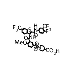 COc1ccc(S(=O)(=O)N2CCC(C(=O)O)CC2)cc1C(=O)Nc1c(C(=O)Nc2ccc(F)c(C(F)(F)F)c2)sc2cc(C(F)(F)F)ccc12